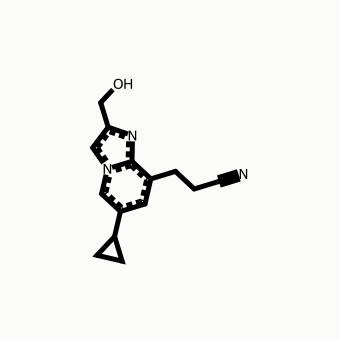 N#CCCc1cc(C2CC2)cn2cc(CO)nc12